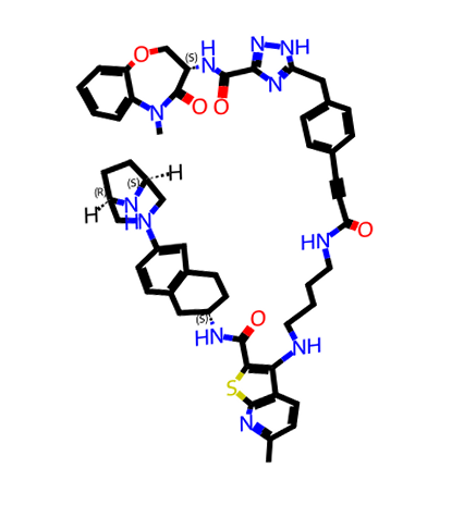 Cc1ccc2c(NCCCCNC(=O)C#Cc3ccc(Cc4nc(C(=O)N[C@H]5COc6ccccc6N(C)C5=O)n[nH]4)cc3)c(C(=O)N[C@H]3CCc4cc(N5C[C@H]6CC[C@@H](C5)N6)ccc4C3)sc2n1